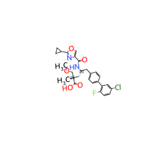 COC[C@](C)(C[C@@H](Cc1ccc(-c2cc(Cl)ccc2F)cc1)NC(=O)c1coc(C2CC2)n1)C(=O)O